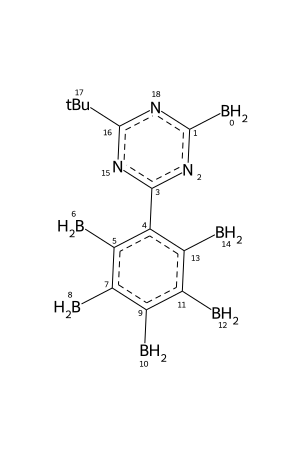 Bc1nc(-c2c(B)c(B)c(B)c(B)c2B)nc(C(C)(C)C)n1